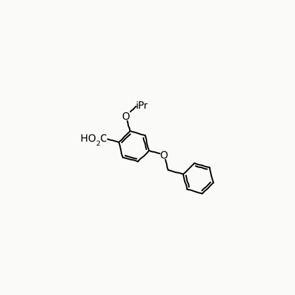 CC(C)Oc1cc(OCc2ccccc2)ccc1C(=O)O